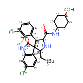 CC(C)(C)C[C@@H]1NC(C(=O)NC2CCC(O)CC2)[C@H](c2cccc(Cl)c2F)C12C(=O)Nc1cc(Cl)ccc12